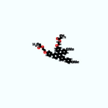 C=CC(=O)OCCOc1ccc(-c2ccc3c(c2)c(-c2ccc(OCCOC(=O)C=C)cc2)c(-c2ccc(OC)cc2)c2cc(-c4ccc(OC)cc4)ccc23)cc1